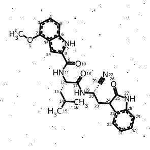 COc1cccc2[nH]c(C(=O)N[C@@H](CC(C)C)C(=O)N[C@H](C#N)CC3C(=O)Nc4ccccc43)cc12